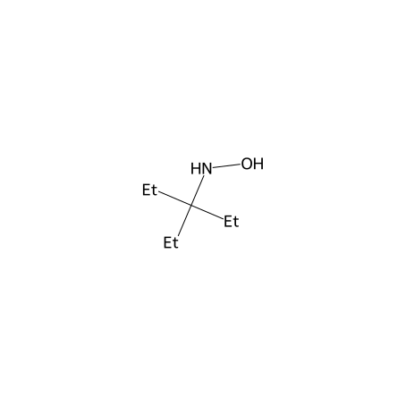 CCC(CC)(CC)NO